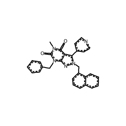 Cn1c(=O)c2c(-c3ccncc3)n(Cc3cccc4ccccc34)nc2n(Cc2ccccc2)c1=O